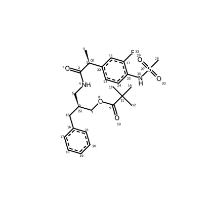 C[C@H](C(=O)NC[C@@H](COC(=O)C(C)(C)C)Cc1ccccc1)c1ccc(NS(C)(=O)=O)c(F)c1